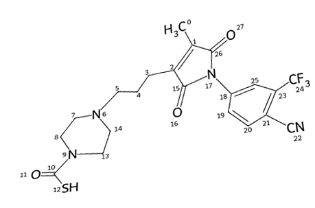 CC1=C(CCCN2CCN(C(=O)S)CC2)C(=O)N(c2ccc(C#N)c(C(F)(F)F)c2)C1=O